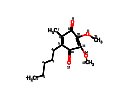 [CH2][CH]CCCC1=C(C)C(=O)C(OC)=C(OC)C1=O